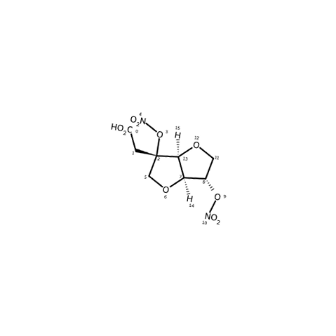 O=C(O)C[C@]1(O[N+](=O)[O-])CO[C@@H]2[C@@H](O[N+](=O)[O-])CO[C@@H]21